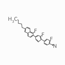 CCCCCc1ccc2c(F)c(-c3ccc(-c4ccc(C#N)c(F)c4)c(F)c3)ccc2c1